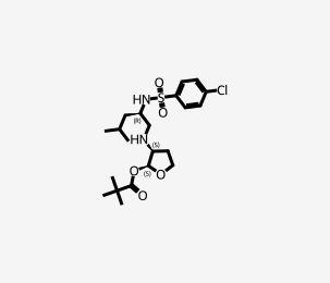 CC(C)C[C@H](CN[C@H]1CCO[C@H]1OC(=O)C(C)(C)C)NS(=O)(=O)c1ccc(Cl)cc1